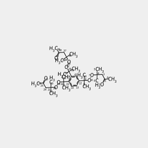 CC(=O)CC(C)(C)OOC(C)(C)c1ccc(C(C)(C)OOC(C)(C)CC(C)=O)c(C(C)(C)OOC(C)(C)CC(C)=O)c1